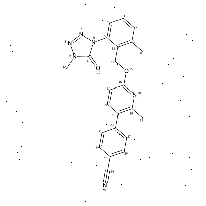 Cc1cccc(-n2nnn(C)c2=O)c1COc1ccc(-c2ccc(C#N)cc2)c(C)n1